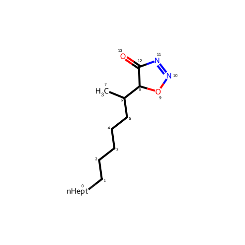 CCCCCCCCCCCCC(C)C1ON=NC1=O